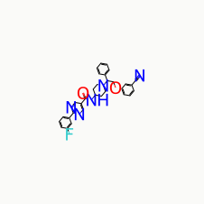 N#Cc1cccc(OCC(c2ccccc2)N2CCC(NC(=O)c3cnc(-c4cccc(F)c4)nc3)CC2)c1